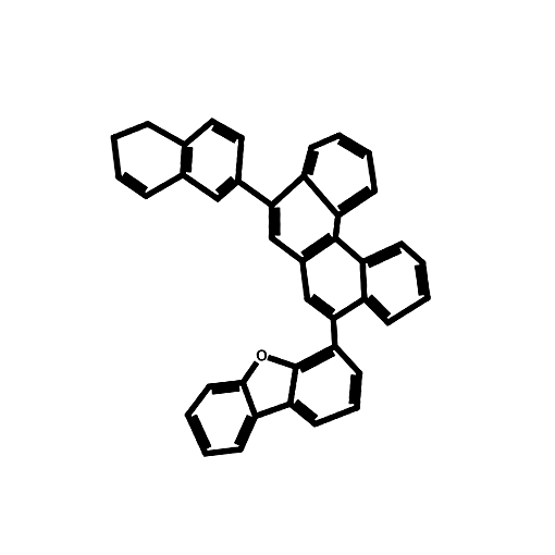 C1=Cc2cc(-c3cc4cc(-c5cccc6c5oc5ccccc56)c5ccccc5c4c4ccccc34)ccc2CC1